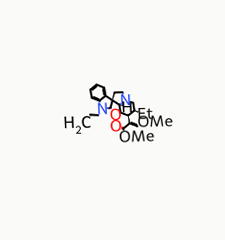 C=CCN1C(=O)[C@]2(CCN3C[C@@H](CC)[C@@H](/C(=C\OC)C(=O)OC)C[C@H]32)c2ccccc21